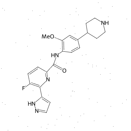 COc1cc(C2CCNCC2)ccc1NC(=O)c1ccc(F)c(-c2ccn[nH]2)n1